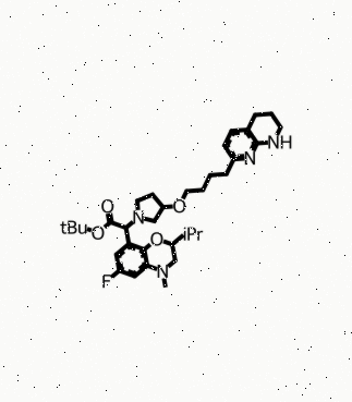 CC(C)C1CN(C)c2cc(F)cc(C(C(=O)OC(C)(C)C)N3CCC(OCCCCc4ccc5c(n4)NCCC5)C3)c2O1